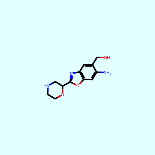 Nc1cc2oc(C3CNCCO3)nc2cc1CO